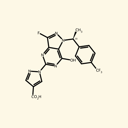 C[C@@H](c1ccc(C(F)(F)F)cc1)n1nc(F)c2nc(-n3cc(C(=O)O)cn3)nc(O)c21